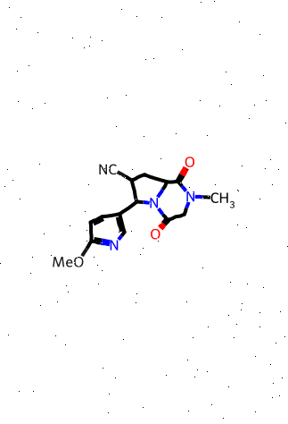 COc1ccc(C2C(C#N)CC3C(=O)N(C)CC(=O)N32)cn1